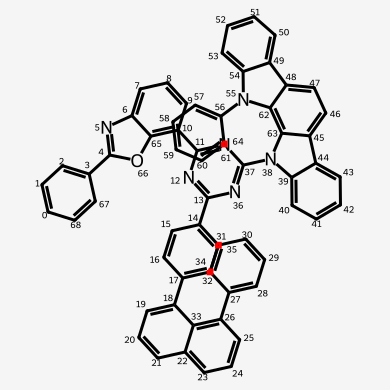 c1ccc(-c2nc3cccc(-c4nc(-c5ccc(-c6cccc7cccc(-c8ccccc8)c67)cc5)nc(-n5c6ccccc6c6ccc7c8ccccc8n(-c8ccccc8)c7c65)n4)c3o2)cc1